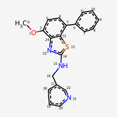 COc1ccc(-c2ccccc2)c2sc(NCc3cccnc3)nc12